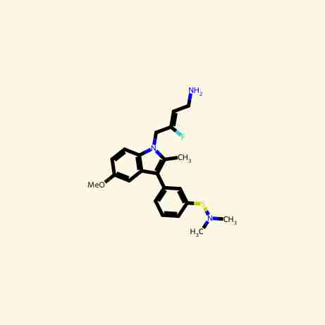 COc1ccc2c(c1)c(-c1cccc(SN(C)C)c1)c(C)n2C/C(F)=C/CN